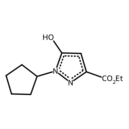 CCOC(=O)c1cc(O)n(C2CCCC2)n1